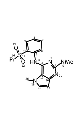 CNc1nc(Nc2ccccc2S(=O)(=O)C(C)C)c2c(ccn2C)n1